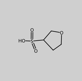 O=S(=O)(O)C1CCOC1